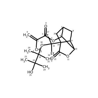 C=C(C)C(=O)OC1C2CC3C1OC(=O)C3(C(CC)(CC)OC(C)(C)C(C)(C)O)C2